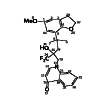 COc1cc2c(c(C(C)(C)CC(O)(Cn3ccc(=O)c4ccccc43)C(F)(F)F)c1)OCC2